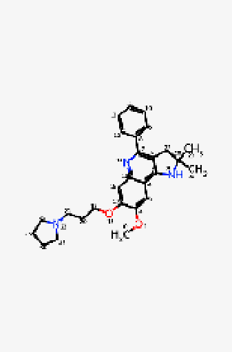 COc1cc2c3c(c(-c4ccccc4)nc2cc1OCCCN1CCCC1)CC(C)(C)N3